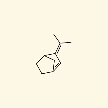 CC(C)=C1C=C2CCC1C2